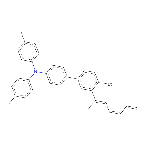 C=C/C=C\C=C(/C)c1cc(-c2ccc(N(c3ccc(C)cc3)c3ccc(C)cc3)cc2)ccc1CC